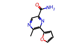 Cc1ncc(C(N)=O)nc1-c1ccco1